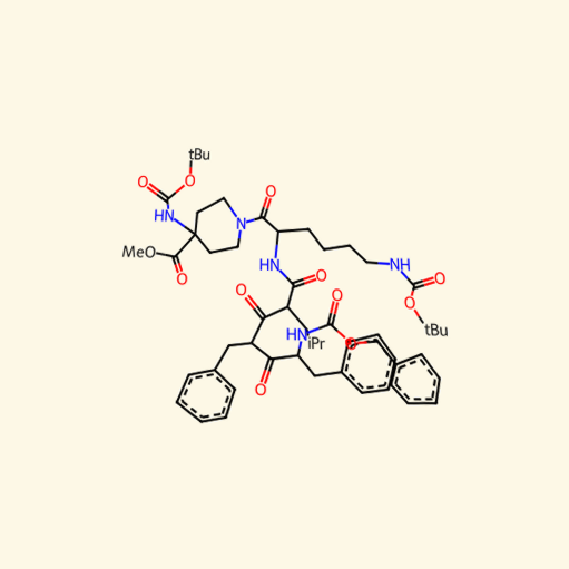 COC(=O)C1(NC(=O)OC(C)(C)C)CCN(C(=O)C(CCCCNC(=O)OC(C)(C)C)NC(=O)C(CC(C)C)C(=O)C(Cc2ccccc2)C(=O)C(Cc2ccccc2)NC(=O)OCc2ccccc2)CC1